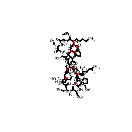 CC[C@H](C)[C@H](NC(=O)[C@H](CC(C)C)NC(=O)[C@H](CC(C)C)NC(=O)[C@H](CCCCN)NC(=O)[C@@H]1CCCN1C(=O)[C@@H](NC(=O)[C@H](CCCCN)NC(=O)CNC(=O)[C@@H]1CCCN1C(=O)[C@H](CCCCN)NC(=O)[C@@H](N)CCC(N)=O)C(C)C)C(=O)N[C@@H](Cc1ccc(O)cc1)C(=O)N[C@@H](CO)C(=O)NCC(=O)N[C@@H](CO)C(=O)N[C@H](C(=O)N[C@@H](CC(C)C)C(=O)N[C@@H](CCC(N)=O)C(=O)O)[C@@H](C)O